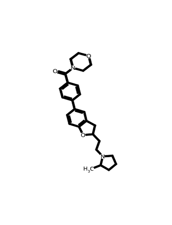 CC1CCCN1CCC1Cc2cc(-c3ccc(C(=O)N4CCOCC4)cc3)ccc2O1